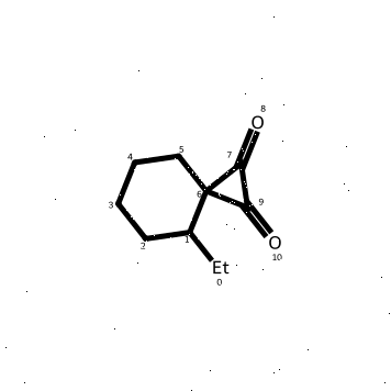 CCC1CCCCC12C(=O)C2=O